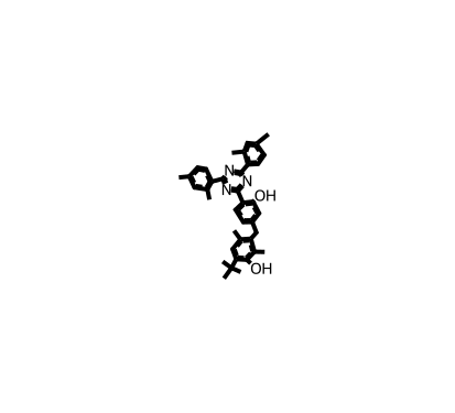 Cc1ccc(-c2nc(-c3ccc(C)cc3C)nc(-c3ccc(Cc4c(C)cc(C(C)(C)C)c(O)c4C)cc3O)n2)c(C)c1